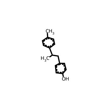 Cc1ccc(C(C)Cc2ccc(O)cc2)cc1